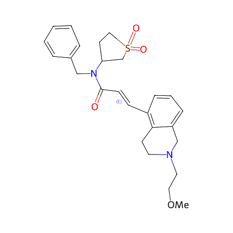 COCCN1CCc2c(/C=C/C(=O)N(Cc3ccccc3)C3CCS(=O)(=O)C3)cccc2C1